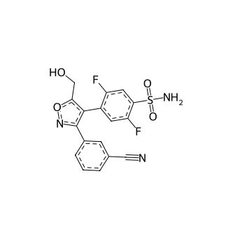 N#Cc1cccc(-c2noc(CO)c2-c2cc(F)c(S(N)(=O)=O)cc2F)c1